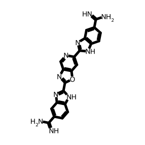 N=C(N)c1ccc2[nH]c(-c3cc4oc(-c5nc6cc(C(=N)N)ccc6[nH]5)nc4cn3)nc2c1